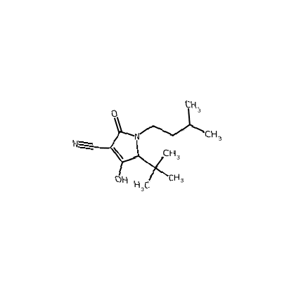 CC(C)CCN1C(=O)C(C#N)=C(O)C1C(C)(C)C